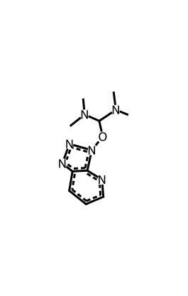 CN(C)C(On1nnc2cccnc21)N(C)C